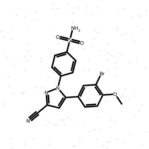 COc1ccc(-c2cc(C#N)nn2-c2ccc(S(N)(=O)=O)cc2)cc1Br